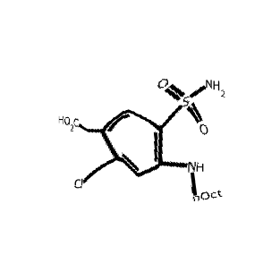 CCCCCCCCNc1cc(Cl)c(C(=O)O)cc1S(N)(=O)=O